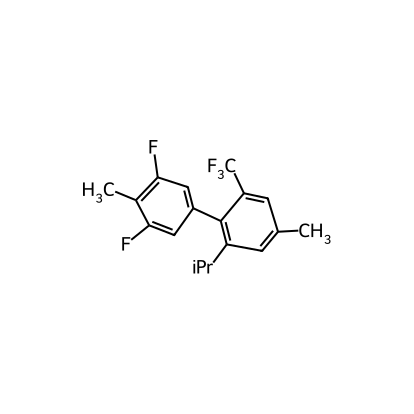 Cc1cc(C(C)C)c(-c2cc(F)c(C)c(F)c2)c(C(F)(F)F)c1